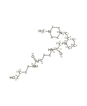 CN1CC[15N]([13CH2][13CH]2[13CH2][13CH2][13CH2][15N]2[13CH2][13C](=O)NCC[13CH2]C(=O)NCC[13CH2]C(=O)O)CC1